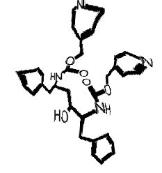 O=C(NC(Cc1ccccc1)CC(O)C(Cc1ccccc1)NC(=O)OCc1ccncc1)OCc1ccncc1